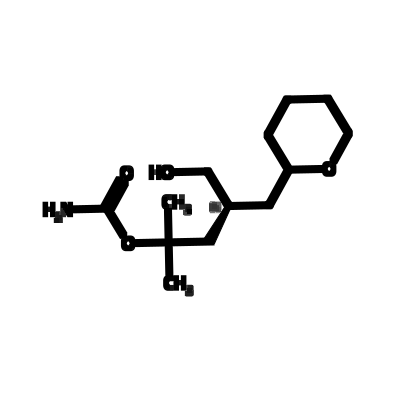 CC(C)(C[C@@H](CO)CC1CCCCO1)OC(N)=O